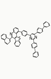 c1ccc(-c2ccc(-c3cc(-c4ccc(-c5cccc6nc(-c7cccc8ccccc78)c7c8ccccc8sc7c56)cc4)nc(-c4ccc(-c5ccccc5)cc4)n3)cc2)cc1